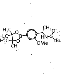 COc1cc(B2OC(C)(C)C(C)(C)O2)ccc1[C@H](C)N[S@@+]([O-])C(C)(C)C